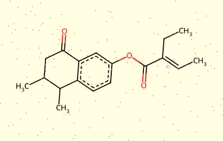 C/C=C(\CC)C(=O)Oc1ccc2c(c1)C(=O)CC(C)C2C